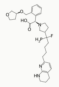 O=C(O)[C@@H](c1ccccc1CO[C@H]1CCOC1)N1CCC(C(F)(P)CCCCc2ccc3c(n2)NCCC3)C1